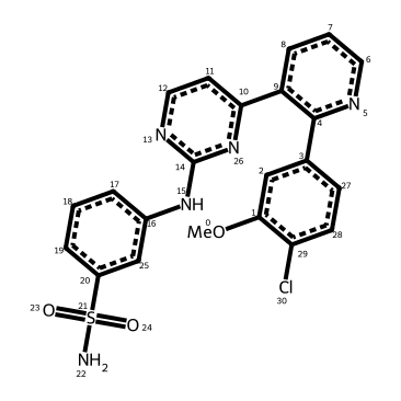 COc1cc(-c2ncccc2-c2ccnc(Nc3cccc(S(N)(=O)=O)c3)n2)ccc1Cl